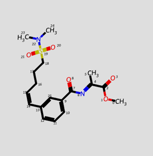 COC(=O)/C(C)=N/C(=O)c1cccc(/C=C\CCCS(=O)(=O)N(C)C)c1